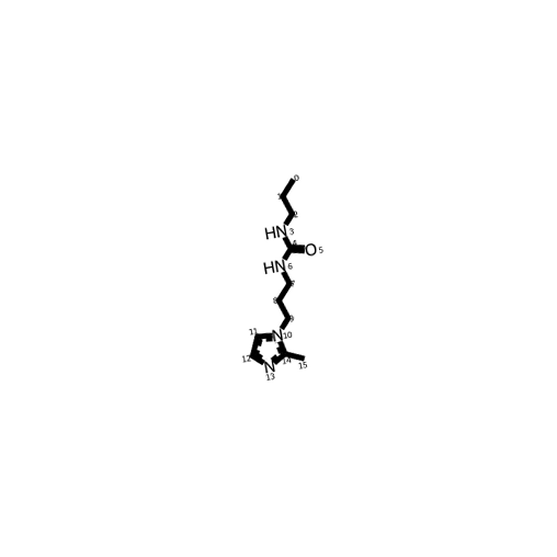 CCCNC(=O)NCCCn1ccnc1C